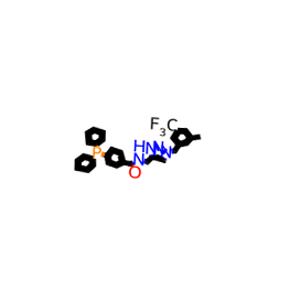 Cc1cc(Cn2cc(CNC(=O)c3ccc(P(c4ccccc4)c4ccccc4)cc3)nn2)cc(C(F)(F)F)c1